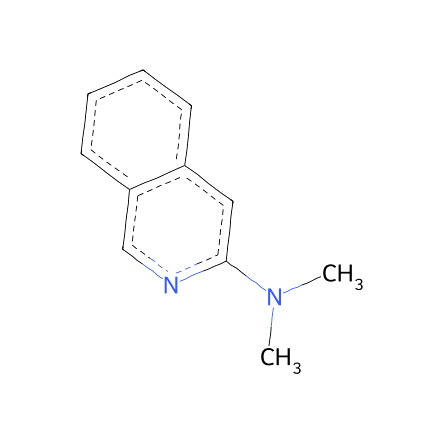 CN(C)c1cc2ccccc2cn1